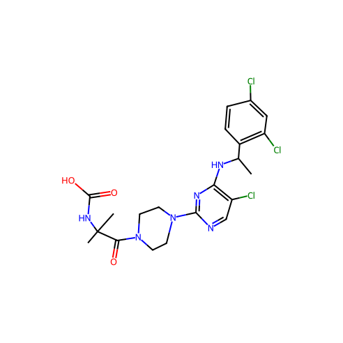 CC(Nc1nc(N2CCN(C(=O)C(C)(C)NC(=O)O)CC2)ncc1Cl)c1ccc(Cl)cc1Cl